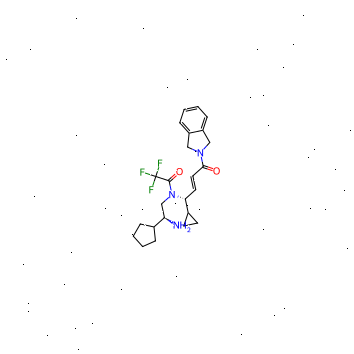 N[C@H](CN(C(=O)C(F)(F)F)[C@H](/C=C/C(=O)N1Cc2ccccc2C1)C1CC1)C1CCCC1